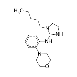 CCCCCN1CCNC1Nc1ccccc1N1CCOCC1